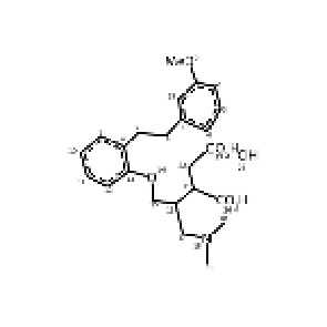 COc1cccc(CCc2ccccc2OCC(CN(C)C)C(CC(=O)O)C(=O)O)c1.Cl